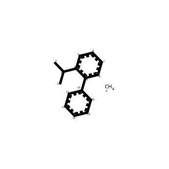 C.CC(C)c1ccccc1-c1ccccc1